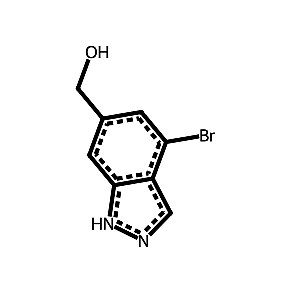 OCc1cc(Br)c2cn[nH]c2c1